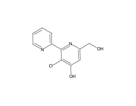 OCc1cc(O)c(Cl)c(-c2ccccn2)n1